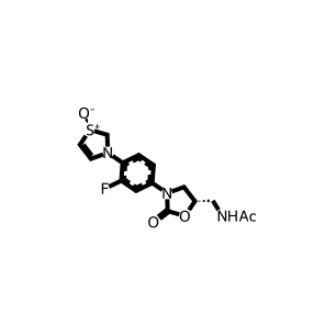 CC(=O)NC[C@H]1CN(c2ccc(N3C=C[S@+]([O-])C3)c(F)c2)C(=O)O1